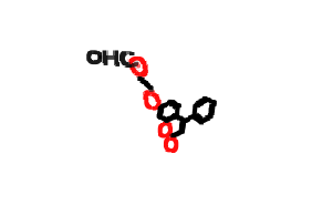 O=[C]OCCOc1ccc2c(-c3ccccc3)cc(=O)oc2c1